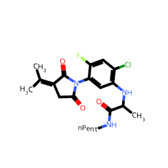 CCCCCNC(=O)C(C)Nc1cc(N2C(=O)CC(=C(C)C)C2=O)c(F)cc1Cl